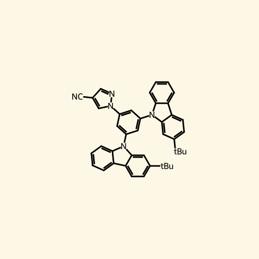 CC(C)(C)c1ccc2c3ccccc3n(-c3cc(-n4cc(C#N)cn4)cc(-n4c5ccccc5c5ccc(C(C)(C)C)cc54)c3)c2c1